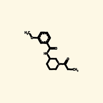 CCC(=O)N1CCCC(NC(=O)c2cccc(OC)c2)C1